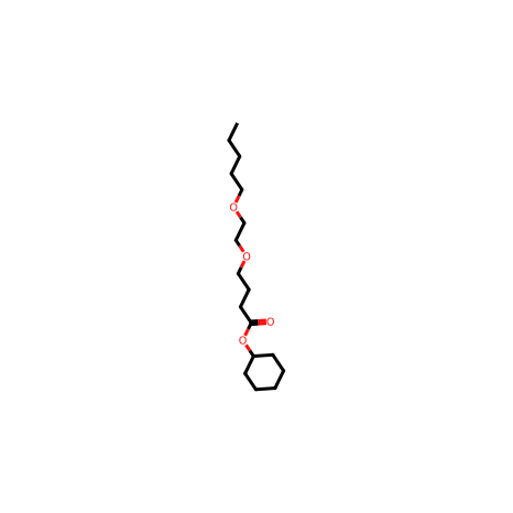 CCCCCOCCOCCCC(=O)OC1CCCCC1